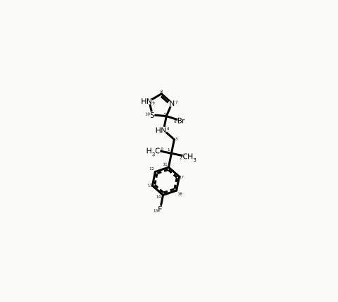 CC(C)(CNC1(Br)N=CNS1)c1ccc(F)cc1